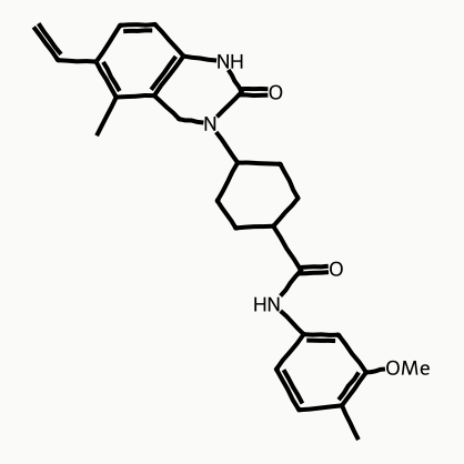 C=Cc1ccc2c(c1C)CN(C1CCC(C(=O)Nc3ccc(C)c(OC)c3)CC1)C(=O)N2